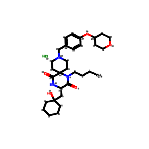 CCCCN1C(=O)[C@@H](CC2(O)CCCCC2)NC(=O)C12CCN(Cc1ccc(OC3CCOCC3)cc1)CC2.Cl